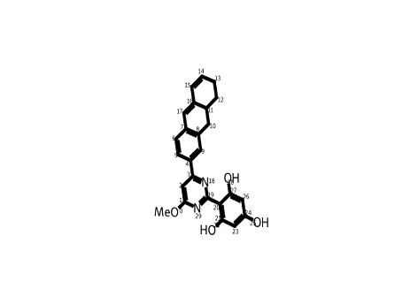 COc1cc(-c2ccc3c(c2)CC2CCC=CC2=C3)nc(-c2c(O)cc(O)cc2O)n1